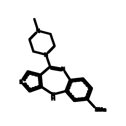 CSc1ccc2c(c1)Nc1cscc1C(N1CCN(C)CC1)=N2